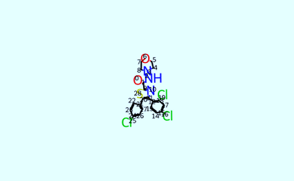 O=C(NN1CCOCC1)c1nc(-c2ccc(Cl)cc2Cl)c(-c2ccc(Cl)cc2)s1